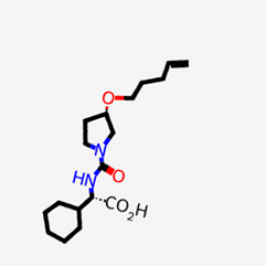 C=CCCCO[C@H]1CCN(C(=O)N[C@H](C(=O)O)C2CCCCC2)C1